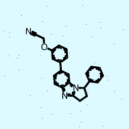 N#CCOc1cccc(-c2ccc3nc4n(c3c2)C(c2ccccc2)CC4)c1